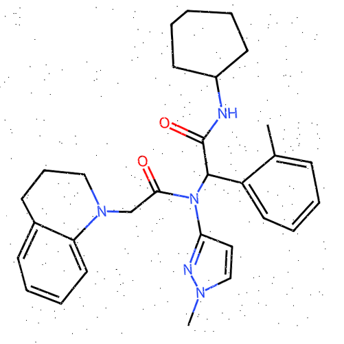 Cc1ccccc1C(C(=O)NC1CCCCC1)N(C(=O)CN1CCCc2ccccc21)c1ccn(C)n1